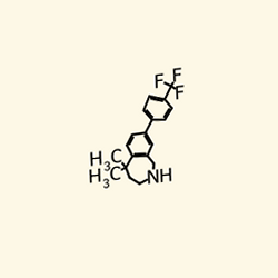 CC1(C)CCNCc2cc(-c3ccc(C(F)(F)F)cc3)ccc21